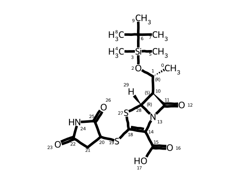 C[C@@H](O[Si](C)(C)C(C)(C)C)[C@H]1C(=O)N2C(C(=O)O)=C(SC3CC(=O)NC3=O)S[C@H]12